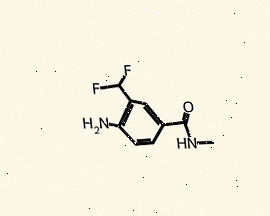 CNC(=O)c1ccc(N)c(C(F)F)c1